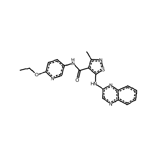 CCOc1ccc(NC(=O)c2c(C)nsc2Nc2cnc3ccccc3n2)cn1